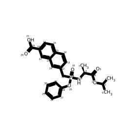 CC(C)OC(=O)[C@H](C)NP(=O)(Cc1ccc2ccc(C(=O)O)cc2c1)Oc1ccccc1